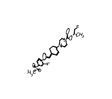 C[C@@H](CF)OC(=O)N1CCN(C2CCC(COc3ccc(S(C)(=O)=O)cc3F)CC2)CC1